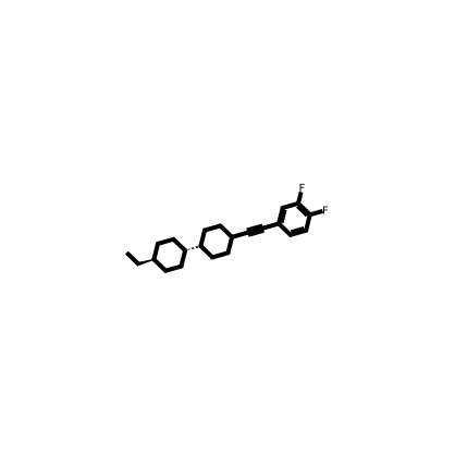 CC[C@H]1CC[C@H](C2CCC(C#Cc3ccc(F)c(F)c3)CC2)CC1